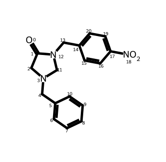 O=C1CN(Cc2ccccc2)CN1Cc1ccc([N+](=O)[O-])cc1